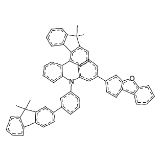 CC1(C)c2ccccc2-c2ccc(-c3cccc(N(c4cccc(-c5ccc6c(c5)oc5ccccc56)c4)c4ccccc4-c4cccc5c4-c4ccccc4C5(C)C)c3)cc21